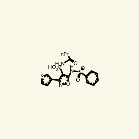 CCCC(N)=O.O=C(O)c1c(-c2ccsc2)noc1NS(=O)(=O)c1ccccc1